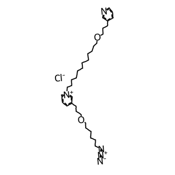 [Cl-].[N-]=[N+]=NCCCCCCOCCCc1ccc[n+](CCCCCCCCCCCCOCCCc2cccnc2)c1